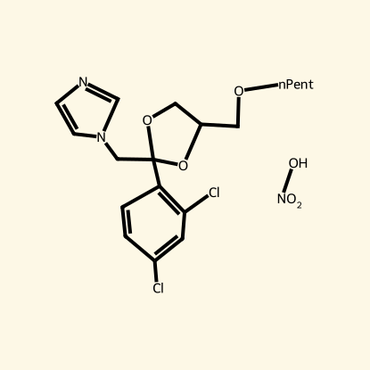 CCCCCOCC1COC(Cn2ccnc2)(c2ccc(Cl)cc2Cl)O1.O=[N+]([O-])O